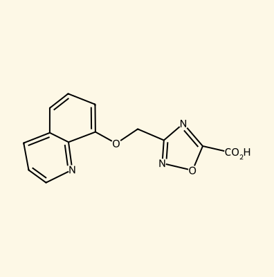 O=C(O)c1nc(COc2cccc3cccnc23)no1